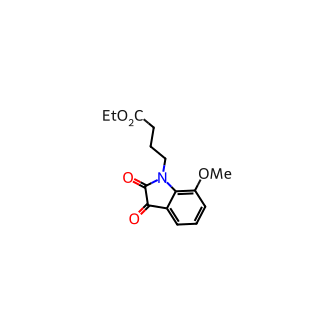 CCOC(=O)CCCN1C(=O)C(=O)c2cccc(OC)c21